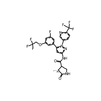 C[C@H]1C(=O)NCC1C(=O)Nc1cc(-c2cc(F)cc(OCC(F)(F)F)c2)n(-c2ccc(C(F)(F)F)nc2)n1